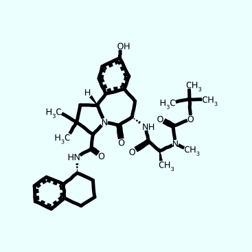 C[C@@H](C(=O)N[C@H]1Cc2cc(O)ccc2[C@H]2CC(C)(C)C(C(=O)N[C@@H]3CCCc4ccccc43)N2C1=O)N(C)C(=O)OC(C)(C)C